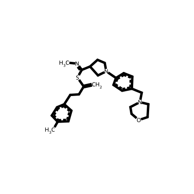 C=C(CCc1ccc(C)cc1)S/C(=N\C)C1CCN(c2ccc(CN3CCOCC3)cc2)C1